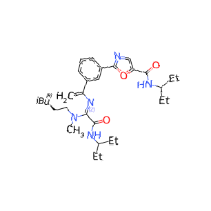 C=C(/N=C(/C(=O)NC(CC)CC)N(C)CC[C@H](C)CC)c1cccc(-c2ncc(C(=O)NC(CC)CC)o2)c1